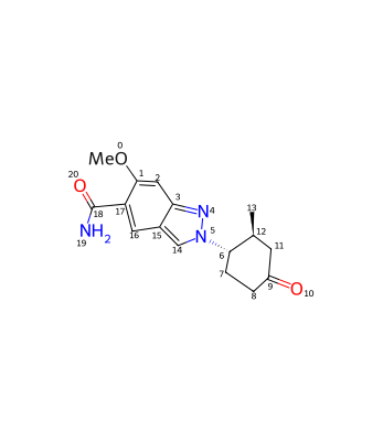 COc1cc2nn([C@H]3CCC(=O)C[C@@H]3C)cc2cc1C(N)=O